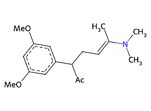 COc1cc(OC)cc(C(C/C=C(\C)N(C)C)C(C)=O)c1